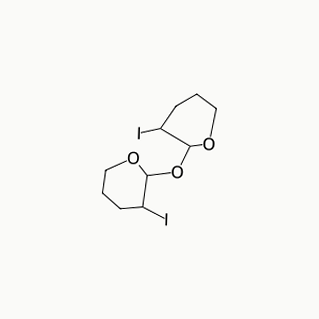 IC1CCCOC1OC1OCCCC1I